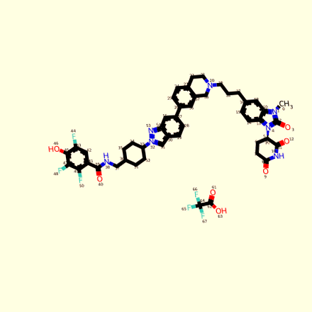 Cn1c(=O)n([C@@H]2CCC(=O)NC2=O)c2ccc(CCCN3CCc4ccc(-c5ccc6cn(C7CCC(CNC(=O)c8cc(F)c(O)c(F)c8F)CC7)nc6c5)cc4C3)cc21.O=C(O)C(F)(F)F